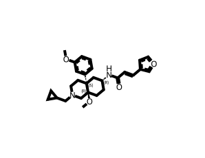 COc1cccc([C@@]23CCN(CC4CC4)C[C@@]2(OC)CC[C@@H](NC(=O)C=Cc2ccoc2)C3)c1